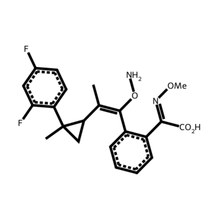 CON=C(C(=O)O)c1ccccc1C(ON)=C(C)C1CC1(C)c1ccc(F)cc1F